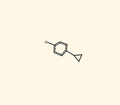 Clc1ccc([C]2CC2)cc1